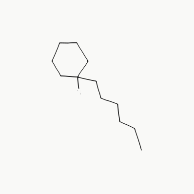 CCCCCCC1([NH])CCCCC1